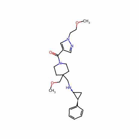 COCCn1cc(C(=O)N2CCC(CN[C@H]3C[C@H]3c3ccccc3)(COC)CC2)cn1